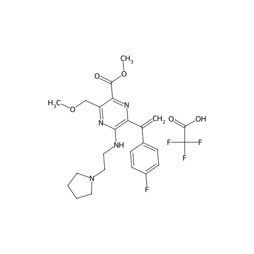 C=C(c1ccc(F)cc1)c1nc(C(=O)OC)c(COC)nc1NCCN1CCCC1.O=C(O)C(F)(F)F